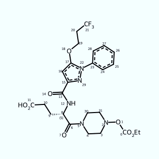 CCOC(=O)ON1CCN(C(=O)[C@H](CCC(=O)O)NC(=O)c2cc(OCCC(F)(F)F)n(-c3ccccc3)n2)CC1